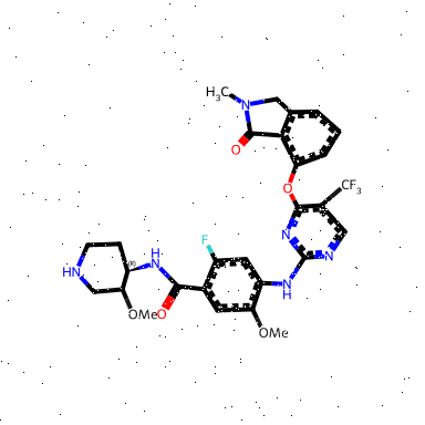 COc1cc(C(=O)N[C@@H]2CCNCC2OC)c(F)cc1Nc1ncc(C(F)(F)F)c(Oc2cccc3c2C(=O)N(C)C3)n1